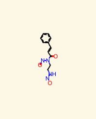 O=NNCCN(N=O)C(=O)C=Cc1ccccc1